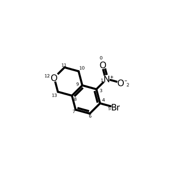 O=[N+]([O-])c1c(Br)ccc2c1CCOC2